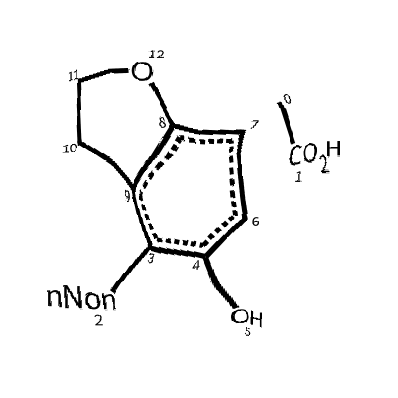 CC(=O)O.CCCCCCCCCc1c(O)ccc2c1CCO2